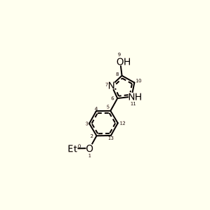 CCOc1ccc(-c2nc(O)c[nH]2)cc1